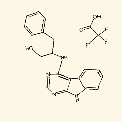 O=C(O)C(F)(F)F.OCC(Cc1ccccc1)Nc1ncnc2[nH]c3ccccc3c12